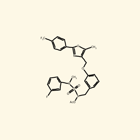 CC(=O)ON(Cc1cccc(OCc2nc(-c3ccc(C(F)(F)F)cc3)oc2C)c1)S(=O)(=O)N(C)c1cccc(F)c1